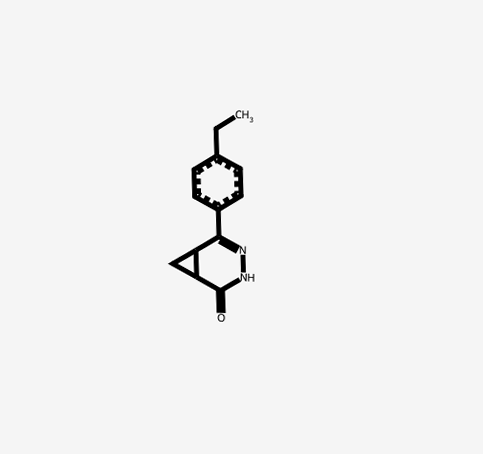 CCc1ccc(C2=NNC(=O)C3CC23)cc1